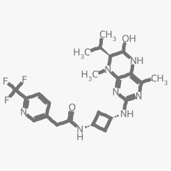 Cc1nc(N[C@H]2C[C@@H](NC(=O)Cc3ccc(C(F)(F)F)nc3)C2)nc2c1NC(O)[C@H](C(C)C)N2C